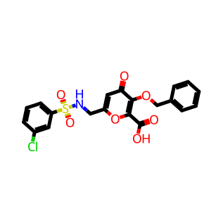 O=C(O)c1oc(CNS(=O)(=O)c2cccc(Cl)c2)cc(=O)c1OCc1ccccc1